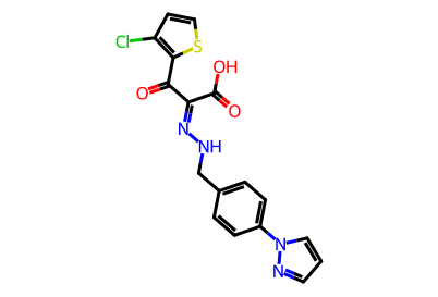 O=C(O)C(=NNCc1ccc(-n2cccn2)cc1)C(=O)c1sccc1Cl